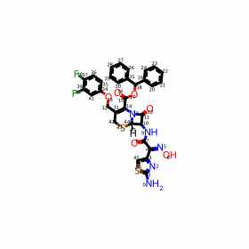 Nc1nc(C(=NO)C(=O)NC2C(=O)N3C(C(=O)OC(c4ccccc4)c4ccccc4)=C(COc4ccc(F)c(F)c4)CS[C@@H]23)cs1